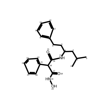 CC(C)CC(CCc1ccccc1)NC(=O)C(C(=O)NO)c1ccccc1